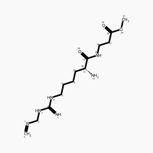 C=NCNC(=N)NCCCC[C@@H](N)C(=O)NCCC(=O)OC